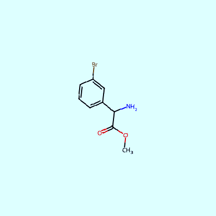 COC(=O)C(N)c1cccc(Br)c1